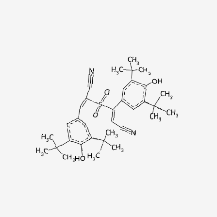 CC(C)(C)c1cc(C=C(C#N)S(=O)(=O)C(=CC#N)c2cc(C(C)(C)C)c(O)c(C(C)(C)C)c2)cc(C(C)(C)C)c1O